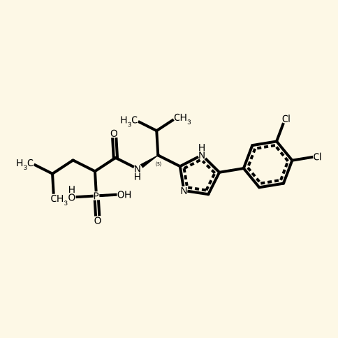 CC(C)CC(C(=O)N[C@H](c1ncc(-c2ccc(Cl)c(Cl)c2)[nH]1)C(C)C)P(=O)(O)O